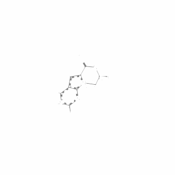 CCC[C@@H]1NC(=O)c2cc3cnc(Cl)nc3n2[C@H]1C